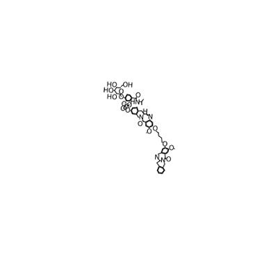 COc1cc2c(cc1OCCCCCOc1cc3c(cc1OC)C(=O)N1Cc4cc(OS(=O)(=O)Oc5cc(C(=O)NC(C)C)ccc5O[C@@H]5O[C@H](CO)[C@H](O)[C@H](O)[C@H]5O)ccc4C[C@H]1C=N3)C=NC1Cc3ccccc3CN1C2=O